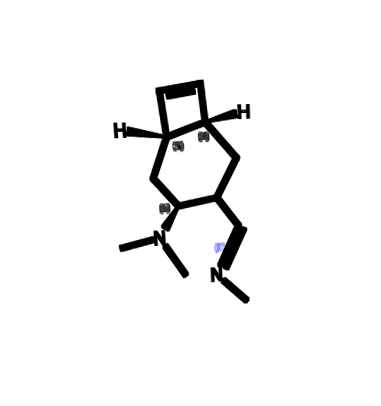 C/N=C/C1C[C@H]2C=C[C@H]2C[C@@H]1N(C)C